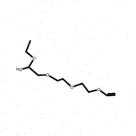 C=COCCOCCOCC(O)OCC